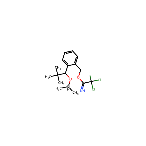 C[SiH](C)OC(c1ccccc1COC(=N)C(Cl)(Cl)Cl)C(C)(C)C